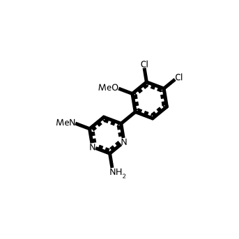 CNc1cc(-c2ccc(Cl)c(Cl)c2OC)nc(N)n1